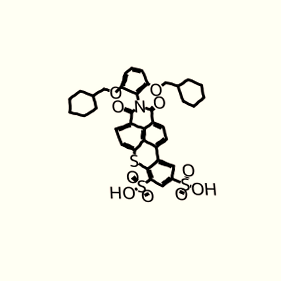 O=c1c2ccc3sc4c(S(=O)(=O)O)cc(S(=O)(=O)O)cc4c4ccc(c(=O)n1-c1c(OCC5CCCCC5)cccc1OCC1CCCCC1)c2c34